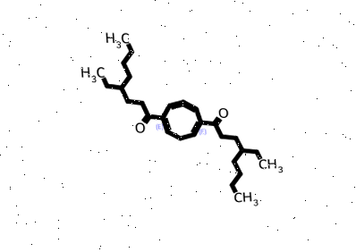 CCCCC(CC)CCC(=O)/C1=C/C/C=C(/C(=O)CCC(CC)CCCC)C=C=C1